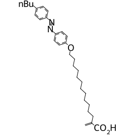 C=C(CCCCCCCCCCCCOc1ccc(N=Nc2ccc(CCCC)cc2)cc1)C(=O)O